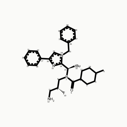 CC1CCC(C(=O)N(C[C@H](F)CN)[C@@H](c2nc(-c3ccccc3)cn2Cc2ccccc2)C(C)(C)C)CC1